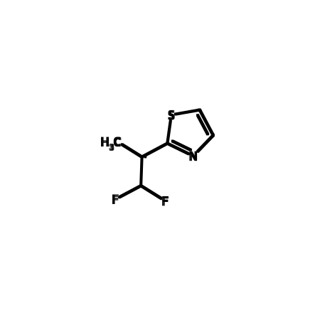 C[C](c1nccs1)C(F)F